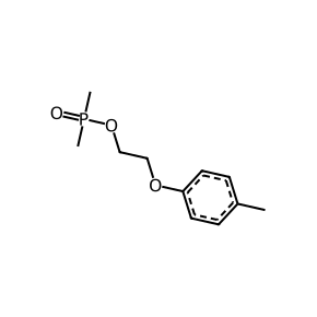 Cc1ccc(OCCOP(C)(C)=O)cc1